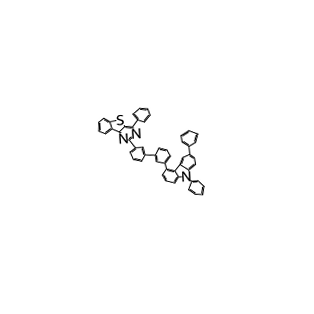 c1ccc(-c2ccc3c(c2)c2c(-c4cccc(-c5cccc(-c6nc(-c7ccccc7)c7sc8ccccc8c7n6)c5)c4)cccc2n3-c2ccccc2)cc1